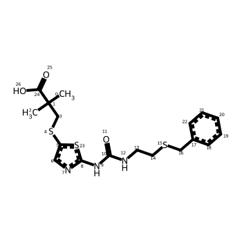 CC(C)(CSc1cnc(NC(=O)NCCSCc2ccccc2)s1)C(=O)O